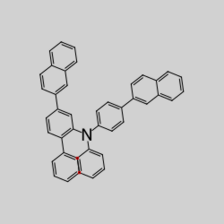 c1ccc(-c2ccc(-c3ccc4ccccc4c3)cc2N(c2ccccc2)c2ccc(-c3ccc4ccccc4c3)cc2)cc1